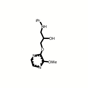 COc1nccnc1OCC(O)CNC(C)C